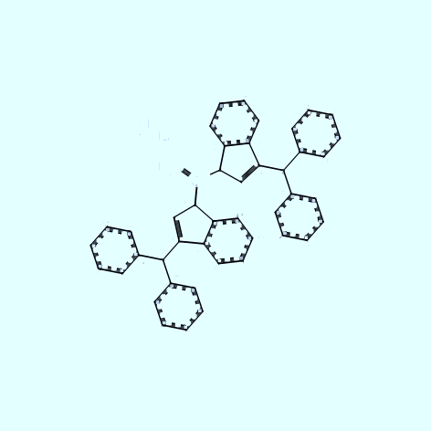 [CH2]=[Zr+2]([CH]1C=C(C(c2ccccc2)c2ccccc2)c2ccccc21)[CH]1C=C(C(c2ccccc2)c2ccccc2)c2ccccc21.[Cl-].[Cl-]